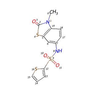 Cn1c(=O)sc2cc(NS(=O)(=O)c3cccs3)ccc21